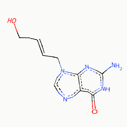 Nc1nc2c(ncn2CC=CCO)c(=O)[nH]1